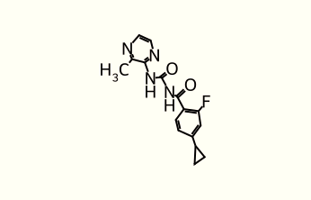 Cc1nccnc1NC(=O)NC(=O)c1ccc(C2CC2)cc1F